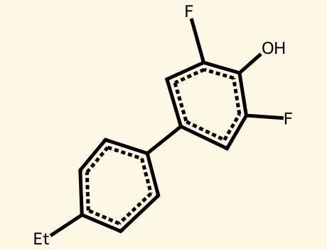 CCc1ccc(-c2cc(F)c(O)c(F)c2)cc1